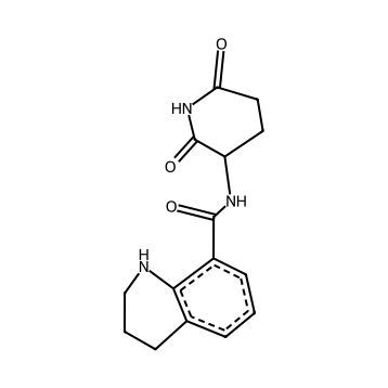 O=C1CCC(NC(=O)c2cccc3c2NCCC3)C(=O)N1